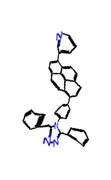 c1ccc(-c2nnc(-c3ccccc3)n2-c2ccc(-c3ccc4ccc5c(-c6cccnc6)ccc6ccc3c4c65)cc2)cc1